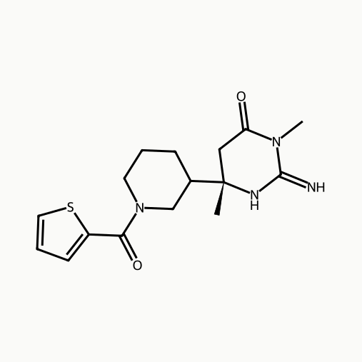 CN1C(=N)N[C@](C)(C2CCCN(C(=O)c3cccs3)C2)CC1=O